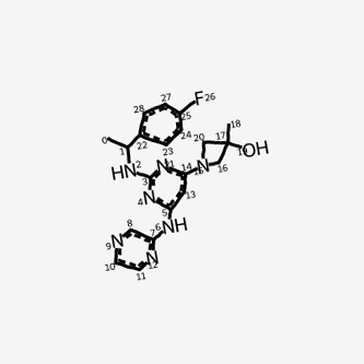 CC(Nc1nc(Nc2cnccn2)cc(N2CC(C)(O)C2)n1)c1ccc(F)cc1